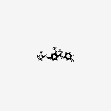 Cn1nnnc1SCc1ccc(C(=O)OC2=CC(=O)CCC2)c([N+](=O)[O-])c1